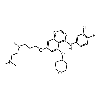 CN(C)CCN(C)CCCOc1cc(OC2CCOCC2)c2c(Nc3ccc(F)c(Cl)c3)ncnc2c1